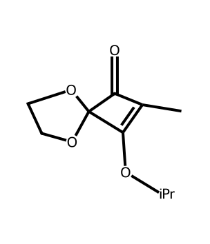 CC1=C(OC(C)C)C2(OCCO2)C1=O